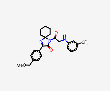 COCc1ccc(C2=NC3(CCCCC3)N(C(=O)CNc3cccc(C(F)(F)F)c3)C2=O)cc1